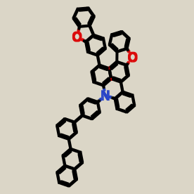 c1cc(-c2ccc(N(c3ccc(-c4ccc5c(c4)oc4ccccc45)cc3)c3ccccc3-c3ccc4c(c3)oc3ccccc34)cc2)cc(-c2ccc3ccccc3c2)c1